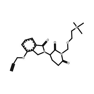 C#CCOc1cccc2c1CN(C1CCC(=O)N(COCC[Si](C)(C)C)C1=O)C2=O